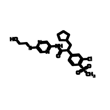 CS(=O)(=O)c1ccc(C(CC2CCCC2)C(=O)Nc2cnc(SCCO)cn2)cc1Cl